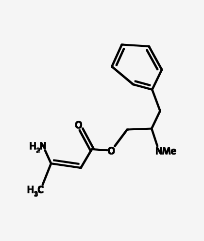 CNC(COC(=O)C=C(C)N)Cc1ccccc1